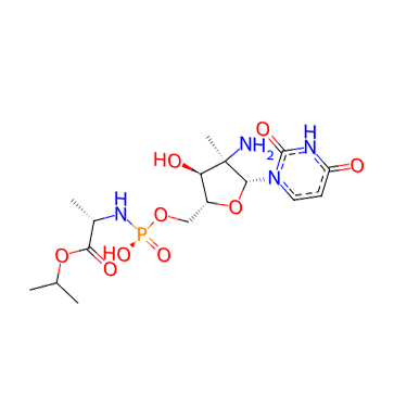 CC(C)OC(=O)[C@H](C)N[P@](=O)(O)OC[C@H]1O[C@@H](n2ccc(=O)[nH]c2=O)[C@](C)(N)[C@@H]1O